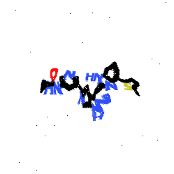 Cc1ccc(-c2cccc3[nH]c(-c4n[nH]c5cnc(-c6cncc(NC(=O)C7CC7)c6)cc45)nc23)s1